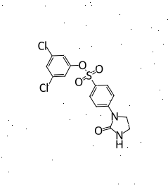 O=C1NCCN1c1ccc(S(=O)(=O)Oc2cc(Cl)cc(Cl)c2)cc1